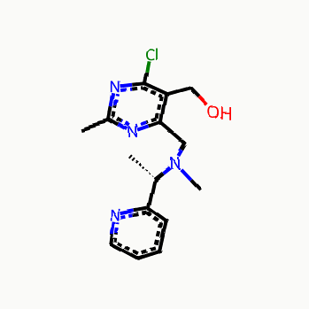 Cc1nc(Cl)c(CO)c(CN(C)[C@@H](C)c2ccccn2)n1